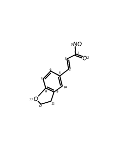 O=NC(=O)/C=C/c1ccc2c(c1)CCO2